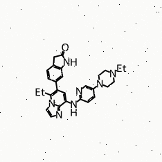 CCc1c(-c2ccc3c(c2)NC(=O)C3)cc(Nc2ccc(N3CCN(CC)CC3)cn2)c2nccn12